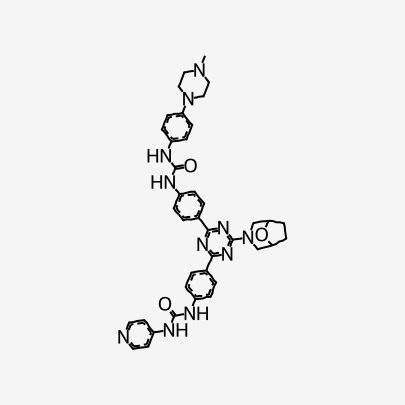 CN1CCN(c2ccc(NC(=O)Nc3ccc(-c4nc(-c5ccc(NC(=O)Nc6ccncc6)cc5)nc(N5CC6CCC(C5)O6)n4)cc3)cc2)CC1